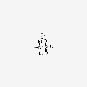 C.CC[N+](C)(CC)S(=O)(=O)[O-]